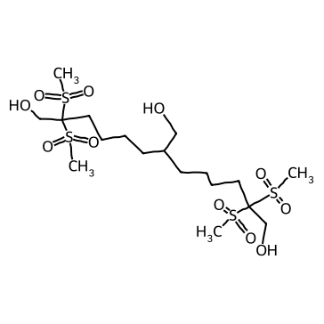 CS(=O)(=O)C(CO)(CCCCC(CO)CCCCC(CO)(S(C)(=O)=O)S(C)(=O)=O)S(C)(=O)=O